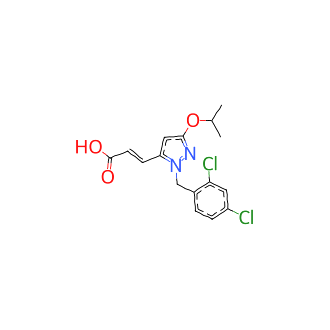 CC(C)Oc1cc(C=CC(=O)O)n(Cc2ccc(Cl)cc2Cl)n1